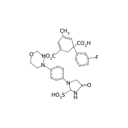 CC1=CC(C(=O)O)(c2cccc(F)c2)CC(C(=O)O)=C1.O=C1CN(c2ccc(N3CCOCC3)cc2)C(S(=O)(=O)O)N1